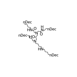 CCCCCCCCCCCCCCNCCCCN(CCCCCCCCCCCCCC)CC(O)CN(CC(=O)NCCCCCCCCCCCC)CC(=O)NCCCCCCCCCCCCCC